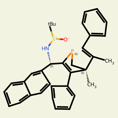 CC1=C(c2ccccc2)[P@@]2C[C@]1(C)C(c1ccccc1)=C2[C@@H](N[S+]([O-])C(C)(C)C)c1ccc2ccccc2c1